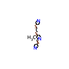 Cc1c(SCCCSc2ccncc2)ccnc1CSc1ccncc1